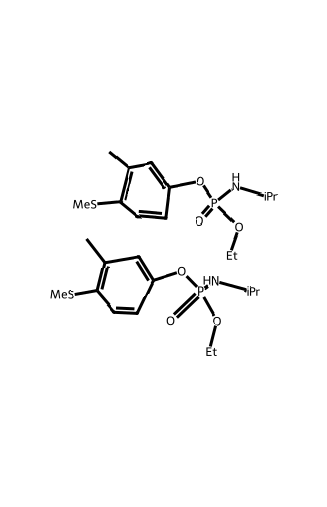 CCOP(=O)(NC(C)C)Oc1ccc(SC)c(C)c1.CCOP(=O)(NC(C)C)Oc1ccc(SC)c(C)c1